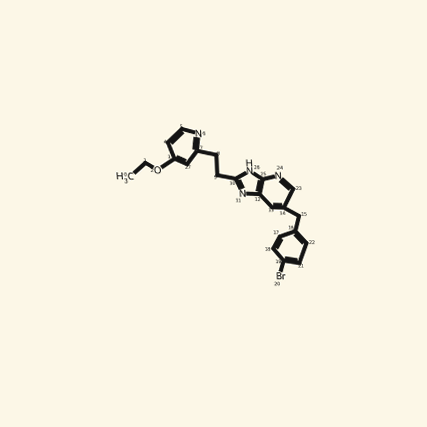 CCOc1ccnc(CCc2nc3cc(Cc4ccc(Br)cc4)cnc3[nH]2)c1